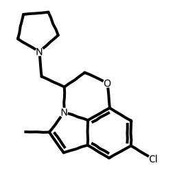 Cc1cc2cc(Cl)cc3c2n1C(CN1CCCC1)CO3